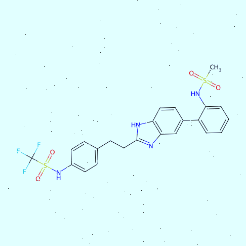 CS(=O)(=O)Nc1ccccc1-c1ccc2[nH]c(CCc3ccc(NS(=O)(=O)C(F)(F)F)cc3)nc2c1